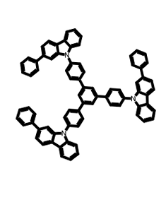 c1ccc(-c2ccc3c4ccccc4n(-c4ccc(-c5cc(-c6ccc(-n7c8ccccc8c8ccc(-c9ccccc9)cc87)cc6)cc(-c6ccc(-n7c8ccccc8c8ccc(-c9ccccc9)cc87)cc6)c5)cc4)c3c2)cc1